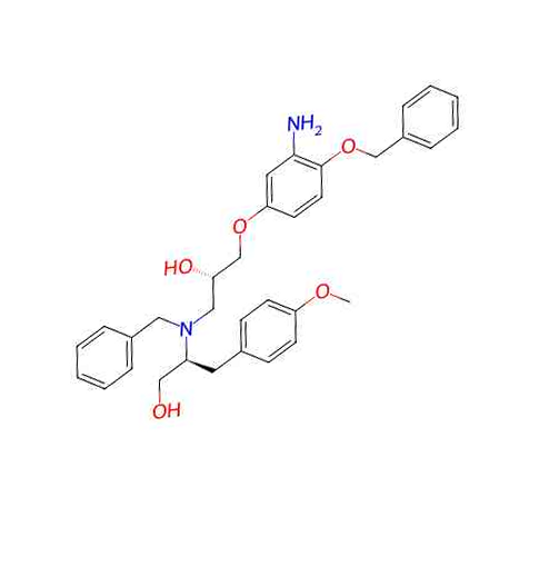 COc1ccc(C[C@@H](CO)N(Cc2ccccc2)C[C@H](O)COc2ccc(OCc3ccccc3)c(N)c2)cc1